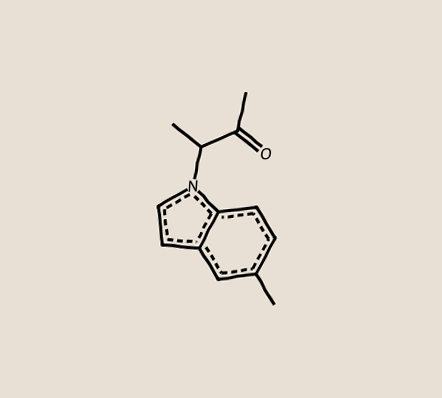 CC(=O)C(C)n1ccc2cc(C)ccc21